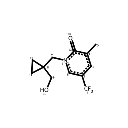 Cc1cc(C(F)(F)F)cn(CC2(CO)CC2)c1=O